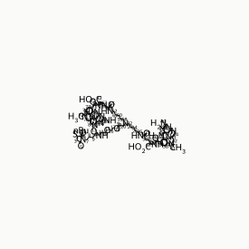 CCCCSC1CC(=O)N(CCCC(=O)NCCOCCOCCN(CCCCCNC(=O)CC[C@H](NC(=O)c2ccc(N(C)Cc3cnc4nc(N)nc(N)c4n3)cc2)C(=O)O)CCCCCNC(=O)CC[C@H](NC(=O)c2ccc(N(C)Cc3cnc4nc(N)nc(N)c4n3)cc2)C(=O)O)C1=O